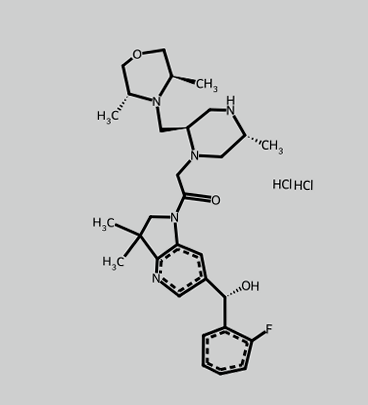 C[C@@H]1CN(CC(=O)N2CC(C)(C)c3ncc([C@H](O)c4ccccc4F)cc32)[C@@H](CN2[C@H](C)COC[C@H]2C)CN1.Cl.Cl